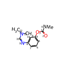 CNC(=O)Oc1cccc(/N=C\N(C)C)c1